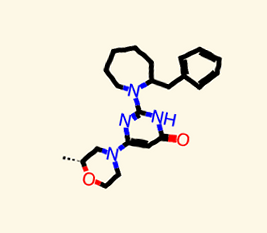 C[C@@H]1CN(c2cc(=O)[nH]c(N3CCCCCC3Cc3ccccc3)n2)CCO1